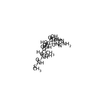 CSCCNC(=O)CCNC(=O)C(O)C(C)(C)COP(=O)(O)OP(=O)(O)OCC1OC(n2cnc3c(N)nccc32)C(O)C1OP(=O)(O)O